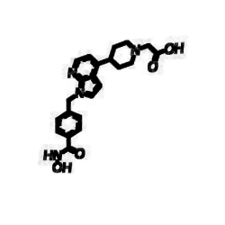 O=C(O)CN1CCC(c2ccnc3c2ccn3Cc2ccc(C(=O)NO)cc2)CC1